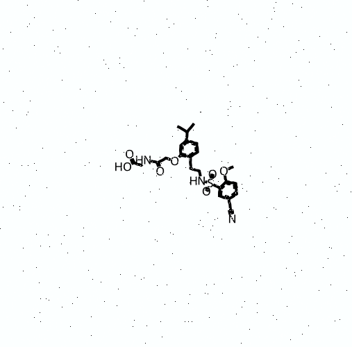 COc1ccc(C#N)cc1S(=O)(=O)NCCc1ccc(C(C)C)cc1OCC(=O)NCC(=O)O